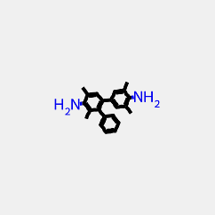 Cc1cc(-c2cc(C)c(N)c(C)c2-c2ccccc2)cc(C)c1N